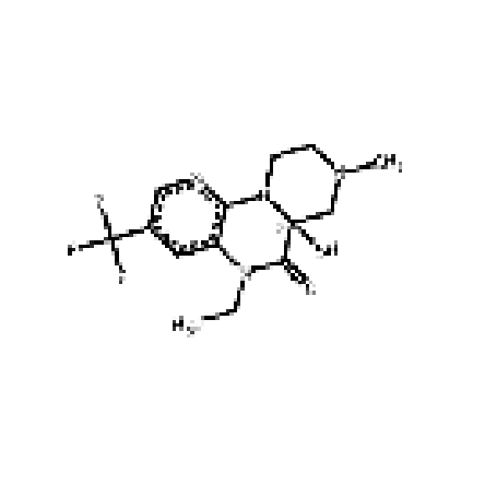 CCN1C(=O)[C@@]2(S)CN(C)CCN2c2ncc(C(F)(F)F)cc21